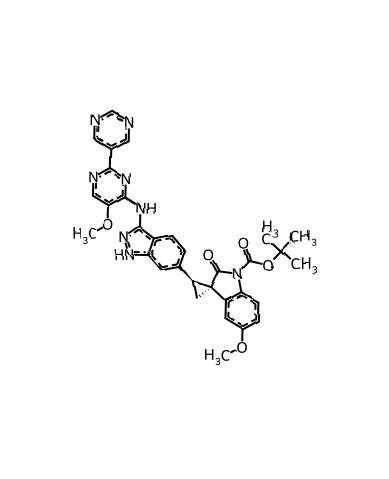 COc1ccc2c(c1)[C@]1(C[C@H]1c1ccc3c(Nc4nc(-c5cncnc5)ncc4OC)n[nH]c3c1)C(=O)N2C(=O)OC(C)(C)C